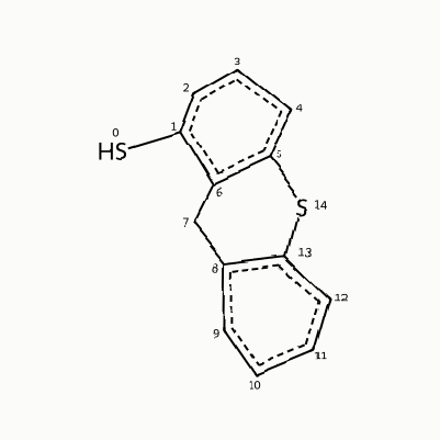 Sc1cccc2c1Cc1ccccc1S2